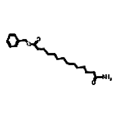 NC(=O)CCCCCCCCCCCCC(=O)OCc1ccccc1